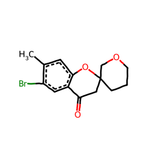 Cc1cc2c(cc1Br)C(=O)CC1(CCCOC1)O2